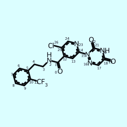 O=C(NCCc1ccccc1C(F)(F)F)c1cc(-n2ncc(=O)[nH]c2=O)ncc1Cl